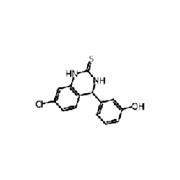 Oc1cccc(C2NC(=S)Nc3cc(Cl)ccc32)c1